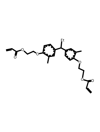 C=CC(=O)OCCOc1ccc(C(CC)c2ccc(OCCOC(=O)C=C)c(C)c2)cc1C